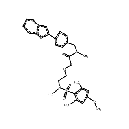 COc1cc(C)c(S(=O)(=O)N(C)CCOCC(=O)N(C)Cc2ccc(-c3cn4ccccc4n3)cc2)c(C)c1